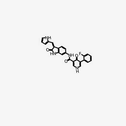 O=C1Nc2cc(NC(=O)c3c[nH]cc(-c4ccccc4F)c3=O)ccc2C1=Cc1ccc[nH]1